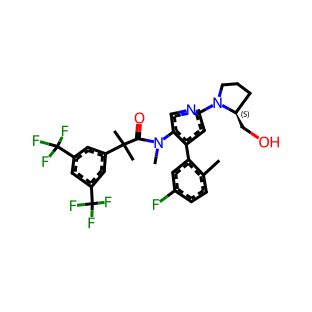 Cc1ccc(F)cc1-c1cc(N2CCC[C@H]2CO)ncc1N(C)C(=O)C(C)(C)c1cc(C(F)(F)F)cc(C(F)(F)F)c1